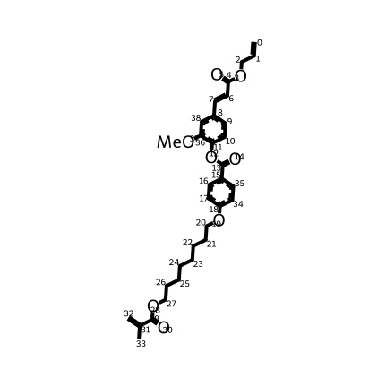 C=CCOC(=O)/C=C/c1ccc(OC(=O)c2ccc(OCCCCCCCCOC(=O)C(=C)C)cc2)c(OC)c1